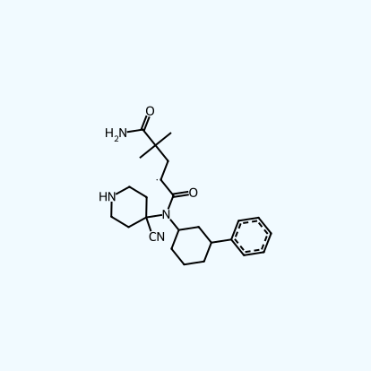 CC(C)(C[CH]C(=O)N(C1CCCC(c2ccccc2)C1)C1(C#N)CCNCC1)C(N)=O